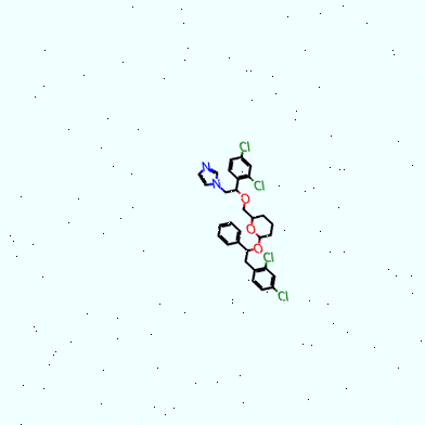 Clc1ccc(CC(OC2CCCC(COC(Cn3ccnc3)c3ccc(Cl)cc3Cl)O2)c2ccccc2)c(Cl)c1